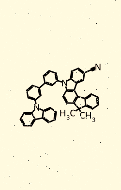 CC1(C)c2ccccc2-c2c1ccc1c2c2cc(C#N)ccc2n1-c1cccc(-c2cccc(-n3c4ccccc4c4ccccc43)c2)c1